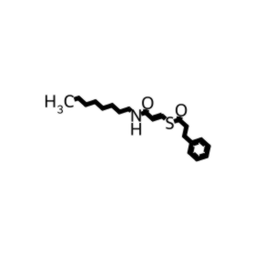 CCCCCCCCNC(=O)C=CSC(=O)CCc1ccccc1